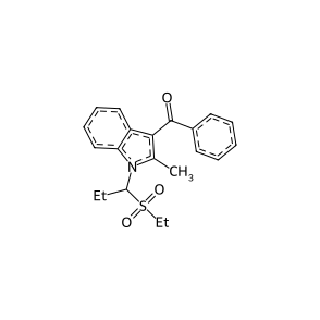 CCC(n1c(C)c(C(=O)c2ccccc2)c2ccccc21)S(=O)(=O)CC